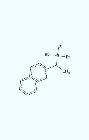 CC[Si](CC)(CC)C(C)c1ccc2ccccc2c1